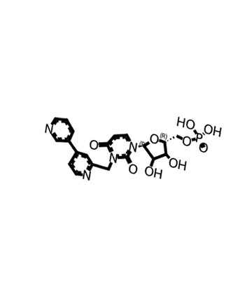 O=c1ccn([C@@H]2O[C@H](COP(=O)(O)O)C(O)C2O)c(=O)n1Cc1cc(-c2cccnc2)ccn1